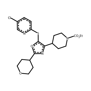 CCOC(=O)N1CCC(c2nc(C3CCOCC3)oc2Sc2ccc(Cl)cn2)CC1